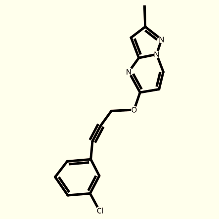 Cc1cc2nc(OCC#Cc3cccc(Cl)c3)ccn2n1